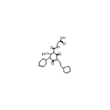 O=C(O)CNC(=O)C1C(=O)N(CCC2CCCCC2)C(=O)N(C2CCCCC2)C1O